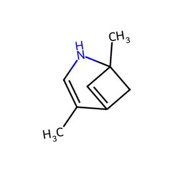 CC1=CNC2(C)C=C1C2